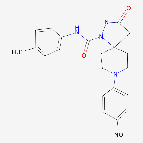 Cc1ccc(NC(=O)N2NC(=O)CC23CCN(c2ccc(N=O)cc2)CC3)cc1